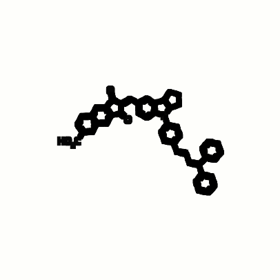 O=C(O)c1ccc2cc3c(cc2c1)C(=O)/C(=C\c1ccc2c(c1)C1CCCC1N2c1ccc(/C=C/C=C(c2ccccc2)c2ccccc2)cc1)C3=O